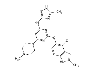 Cc1cc2c(Cl)c(Oc3nc(Nc4n[nH]c(C)n4)cc(N4CCN(C)CC4)n3)ccc2[nH]1